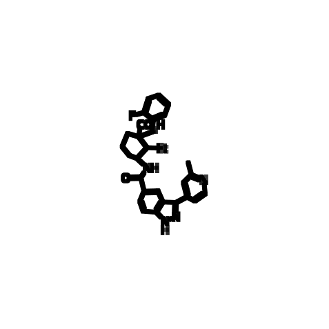 CCC1C(NC(=O)c2ccc3[nH]nc(-c4ccnc(C)c4)c3c2)CCCC1(Cc1ccccc1F)C(=O)O